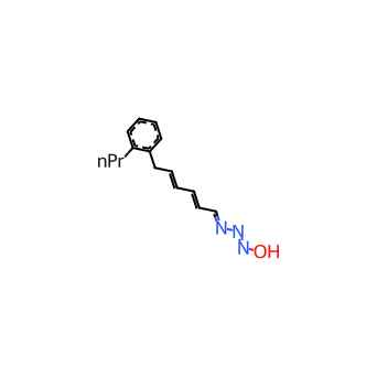 CCCc1ccccc1C/C=C/C=C/C=N/N=N/O